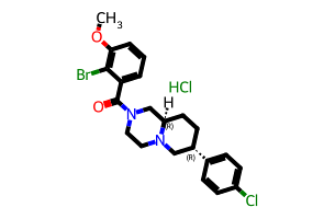 COc1cccc(C(=O)N2CCN3C[C@@H](c4ccc(Cl)cc4)CC[C@@H]3C2)c1Br.Cl